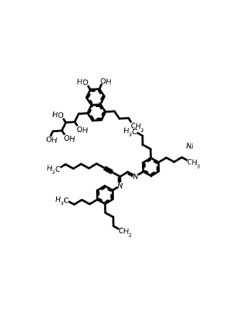 CCCCCCC#CC(C=Nc1ccc(CCCC)c(CCCC)c1)=Nc1ccc(CCCC)c(CCCC)c1.CCCCc1ccc(CC(O)C(O)C(O)CO)c2cc(O)c(O)cc12.[Ni]